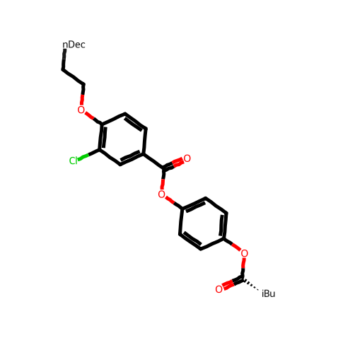 CCCCCCCCCCCCOc1ccc(C(=O)Oc2ccc(OC(=O)[C@@H](C)CC)cc2)cc1Cl